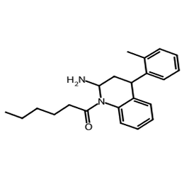 CCCCCC(=O)N1c2ccccc2C(c2ccccc2C)CC1N